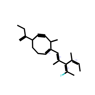 C=C(CC)C1C#CC(C)C(/C=C(C)/C(C(/C)=C\C)=C(/C)F)=C\CC1